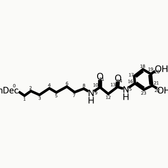 CCCCCCCCCCCCCCCCCCNC(=O)CC(=O)Nc1ccc(O)c(O)c1